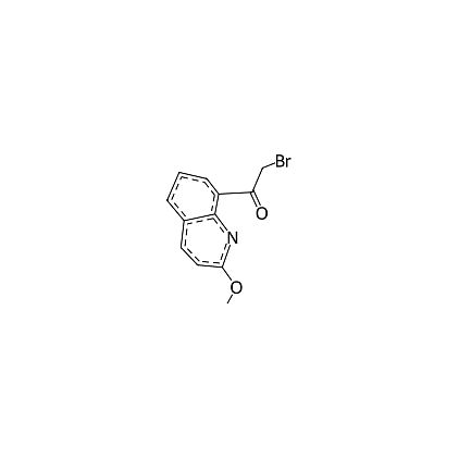 COc1ccc2cccc(C(=O)CBr)c2n1